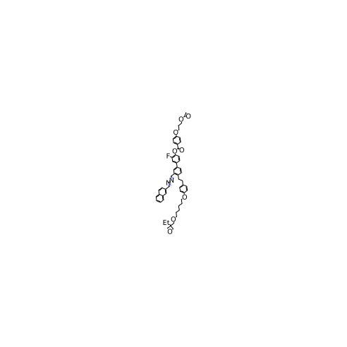 CCC1(COCCCCCCOc2ccc(CCc3ccc(-c4ccc(OC(=O)c5ccc(OCCCOC6CO6)cc5)c(F)c4)cc3/C=N/N=C/c3ccc4ccccc4c3)cc2)COC1